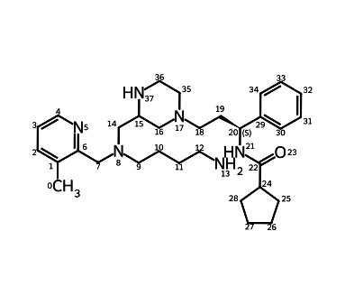 Cc1cccnc1CN(CCCCN)CC1CN(CC[C@H](NC(=O)C2CCCC2)c2ccccc2)CCN1